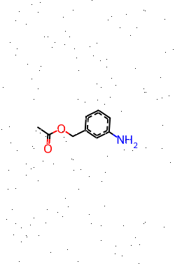 CC(=O)OCc1cccc(N)c1